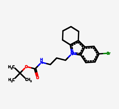 CC(C)(C)OC(=O)NCCCn1c2c(c3cc(Br)ccc31)CCCC2